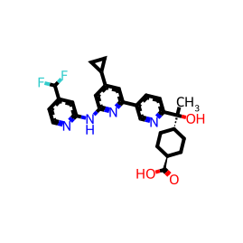 CC(O)(c1ccc(-c2cc(C3CC3)cc(Nc3cc(C(F)F)ccn3)n2)cn1)[C@H]1CC[C@H](C(=O)O)CC1